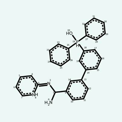 NC(/N=c1/cccc[nH]1)c1cccc(-c2cccc([PH](O)(c3ccccc3)c3ccccc3)c2)c1